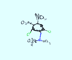 O=[N+]([O-])c1cc(Cl)c(N([N+](=O)[O-])[N+](=O)[O-])c(Cl)c1[N+](=O)[O-]